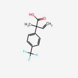 C=CC(C)(C(=O)O)c1ccc(C(F)(F)F)cc1